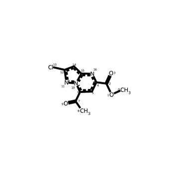 COC(=O)c1cc(C(C)=O)n2nc(Cl)cc2n1